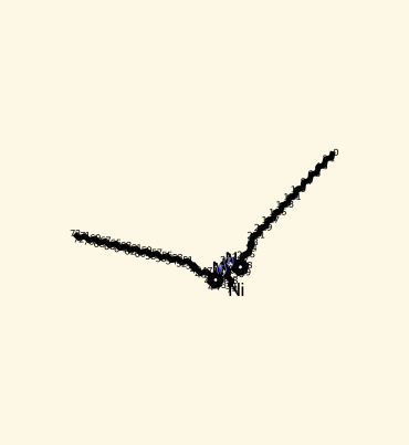 CCCCCCCCCCCCCCCCCCCCCCCC#CCCc1ccccc1/N=C\C(CCCC)=N\c1ccccc1CCC#CCCCCCCCCCCCCCCCCCCCCCCC.[Ni]